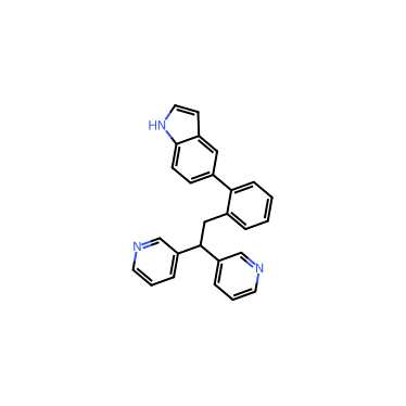 c1cncc(C(Cc2ccccc2-c2ccc3[nH]ccc3c2)c2cccnc2)c1